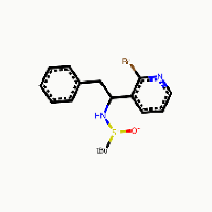 CC(C)(C)[S+]([O-])NC(Cc1ccccc1)c1cccnc1Br